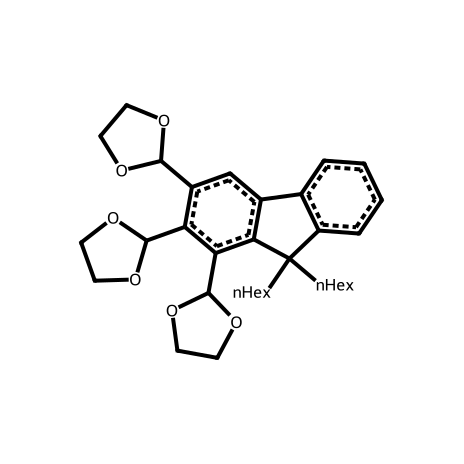 CCCCCCC1(CCCCCC)c2ccccc2-c2cc(C3OCCO3)c(C3OCCO3)c(C3OCCO3)c21